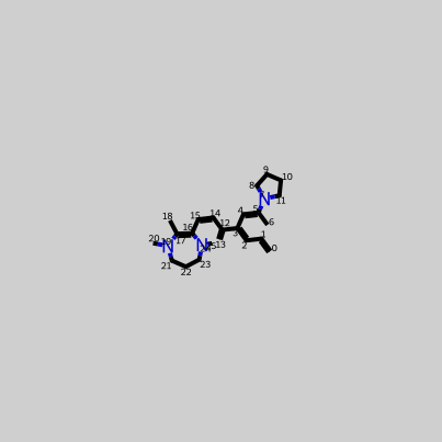 C=C/C=C(\C=C(/C)N1CCCC1)C(=C)/C=C\C1=C(C)N(C)CCCN1C